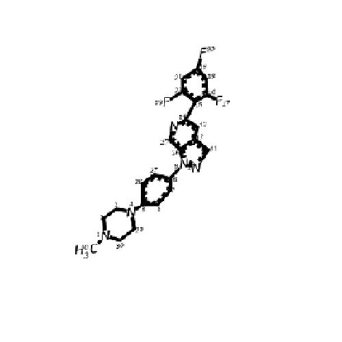 CN1CCN(c2ccc(-n3ncc4cc(-c5c(F)cc(F)cc5F)ncc43)cc2)CC1